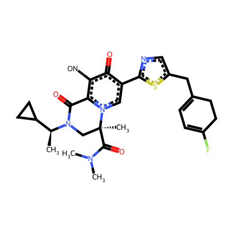 C[C@@H](C1CC1)N1C[C@](C)(C(=O)N(C)C)n2cc(-c3ncc(CC4=CC=C(F)CC4)s3)c(=O)c(N=O)c2C1=O